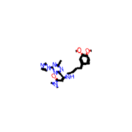 COc1ccc(CCCCNC(CC(=O)N(C)C)c2nc(C)nc(-n3ccnc3)n2)cc1OC